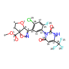 COC(=O)C12CCOC1C(c1cc(-n3c(=O)cc(C(F)(F)F)[nH]c3=O)c(F)cc1Cl)=NO2